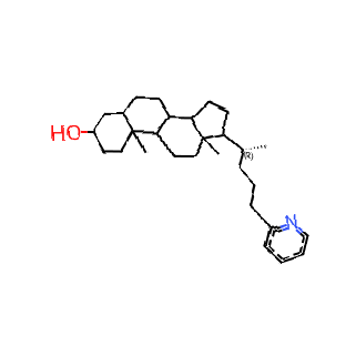 C[C@H](CCCc1ccccn1)C1CCC2C3CCC4CC(O)CCC4(C)C3CCC21C